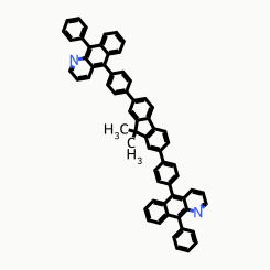 CC1(C)c2cc(-c3ccc(-c4c5ccccc5c(-c5ccccc5)c5ncccc45)cc3)ccc2-c2ccc(-c3ccc(-c4c5ccccc5c(-c5ccccc5)c5ncccc45)cc3)cc21